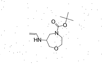 C=CNC1COCCN(C(=O)OC(C)(C)C)C1